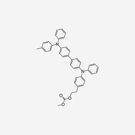 COC(=O)OCCc1ccc(N(c2ccccc2)c2ccc(-c3ccc(N(c4ccccc4)c4ccc(C)cc4)cc3)cc2)cc1